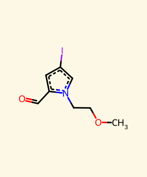 COCCn1cc(I)cc1C=O